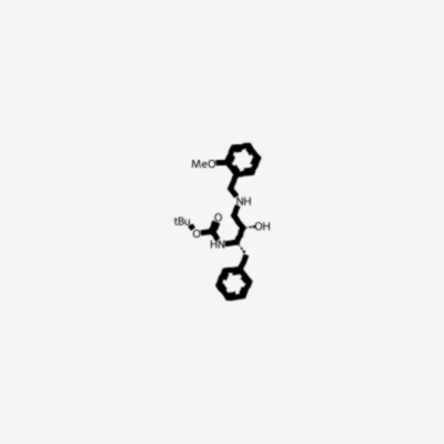 COc1ccccc1CNC[C@H](O)[C@H](Cc1ccccc1)NC(=O)OC(C)(C)C